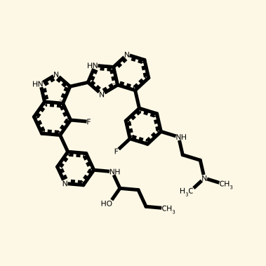 CCCC(O)Nc1cncc(-c2ccc3[nH]nc(-c4nc5c(-c6cc(F)cc(NCCN(C)C)c6)ccnc5[nH]4)c3c2F)c1